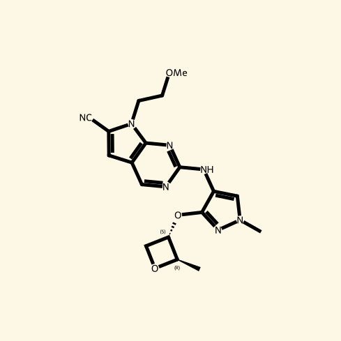 COCCn1c(C#N)cc2cnc(Nc3cn(C)nc3O[C@H]3CO[C@@H]3C)nc21